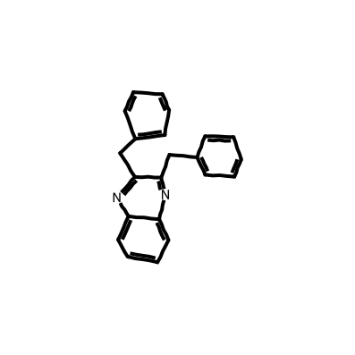 c1ccc(Cc2nc3ccccc3nc2Cc2ccccc2)cc1